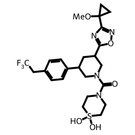 COC1(c2noc(C3CC(c4ccc(CC(F)(F)F)cc4)CN(C(=O)N4CCS(O)(O)CC4)C3)n2)CC1